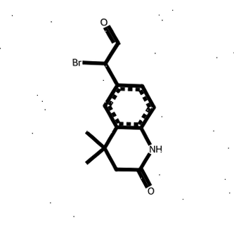 CC1(C)CC(=O)Nc2ccc(C(Br)C=O)cc21